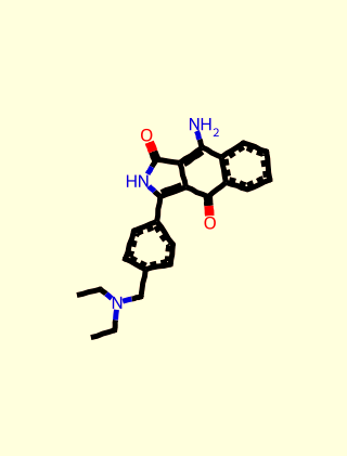 CCN(CC)Cc1ccc(C2=C3C(=O)c4ccccc4C(N)=C3C(=O)N2)cc1